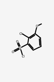 COc1cccc(S(=O)(=O)Cl)c1Cl